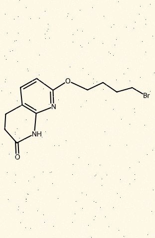 O=C1CCc2ccc(OCCCCBr)nc2N1